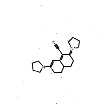 N#CC1=C2C=C(N3CCCC3)CCC2CCC1=[N+]1CCCC1